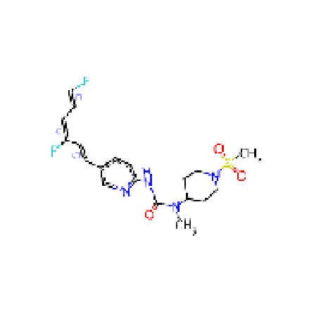 CN(C(=O)Nc1ccc(/C=C/C(F)=C\C=C\F)cn1)C1CCN(S(C)(=O)=O)CC1